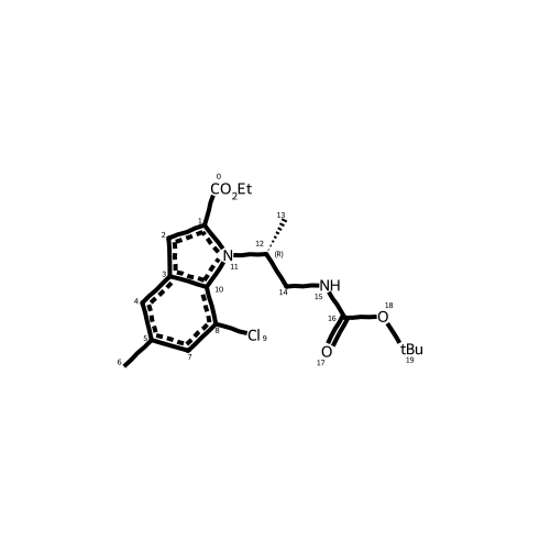 CCOC(=O)c1cc2cc(C)cc(Cl)c2n1[C@H](C)CNC(=O)OC(C)(C)C